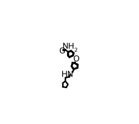 NC(=O)c1ccc(Oc2ccc(CNCCC3CCCC3)cc2)cc1